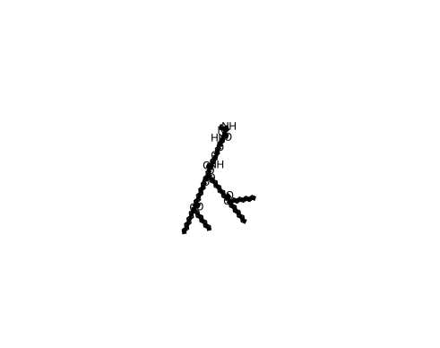 CCCCCCCCC(CCCCCCCC)OC(=O)CCCCCCCOCC(COC(=O)NCCOCCOCCNC(=O)c1c[nH]cn1)OCCCCCCCC(=O)OC(CCCCCCCC)CCCCCCCC